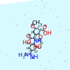 COc1cc(C(=O)O)c(OCCO)c(C(Nc2ccc(C(=N)N)cc2)C(=O)O)c1